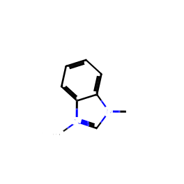 CCCCCC[n+]1cn(C)c2ccccc21.[Br-]